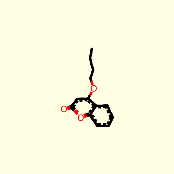 CCCCOc1[c]c(=O)oc2ccccc12